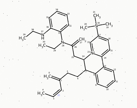 C=C(/C=C\C)CCC1c2ccccc2-c2ccc([Si](C)(C)C)c[n+]2C1CC(=C)N(CC)c1ccccc1NCC